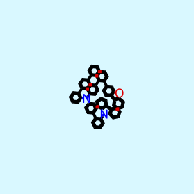 c1ccc(-c2ccc(-c3ccccc3N(c3ccc(-c4ccccc4-c4ccc5c(c4)oc4ccccc45)cc3)c3ccc(-c4ccccc4-n4c5ccccc5c5ccccc54)cc3)cc2)cc1